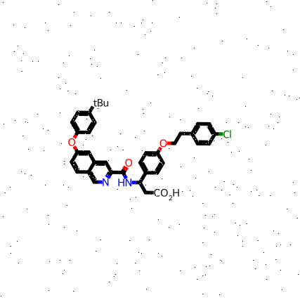 CC(C)(C)c1ccc(Oc2ccc3cnc(C(=O)NC(CC(=O)O)c4ccc(OCCc5ccc(Cl)cc5)cc4)cc3c2)cc1